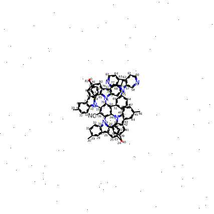 Cc1ccc2c(c1)c1cc(C)ccc1n2-c1c(C#N)c(-n2c3ccc(C)cc3c3cc(C)ccc32)c(-n2c3ccc(C)cc3c3cc(C)ccc32)c(-c2cccc(-n3c4cnccc4c4ccncc43)c2)c1-n1c2ccc(C)cc2c2cc(C)ccc21